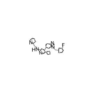 Fc1cccc(Cn2cnc3ccc(-c4cc(NCCc5ccccn5)ncc4Cl)cc32)c1